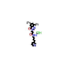 CC(C)c1cc(C(C)C)c2ncn(C=CC(=O)NCCCCc3cccnc3)c(=O)c2c1.Cl